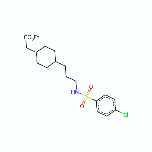 CCOC(=O)CC1CCC(CCCNS(=O)(=O)c2ccc(Cl)cc2)CC1